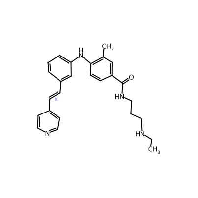 CCNCCCNC(=O)c1ccc(Nc2cccc(/C=C/c3ccncc3)c2)c(C)c1